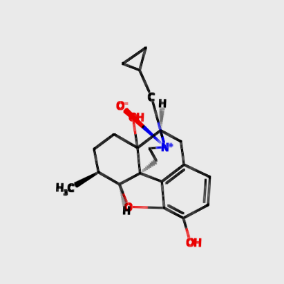 C[C@H]1CCC2(O)[C@H]3Cc4ccc(O)c5c4[C@@]2(CC[N@+]3([O-])CC2CC2)[C@H]1O5